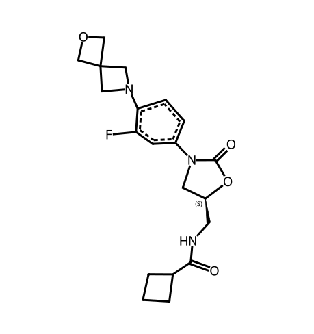 O=C(NC[C@H]1CN(c2ccc(N3CC4(COC4)C3)c(F)c2)C(=O)O1)C1CCC1